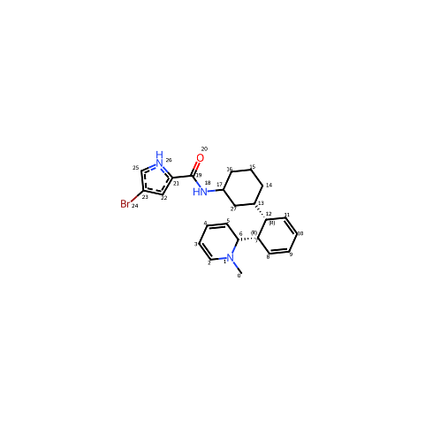 CN1C=CC=CC1[C@H]1C=CC=C[C@H]1C1CCCC(NC(=O)c2cc(Br)c[nH]2)C1